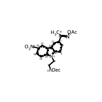 CCCCCCCCCCCCn1c2ccc(/C(C)=N/OC(C)=O)cc2c2cc([N+](=O)[O-])ccc21